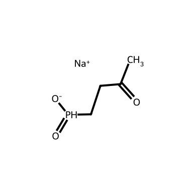 CC(=O)CC[PH](=O)[O-].[Na+]